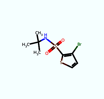 CC(C)(C)NS(=O)(=O)c1sccc1Br